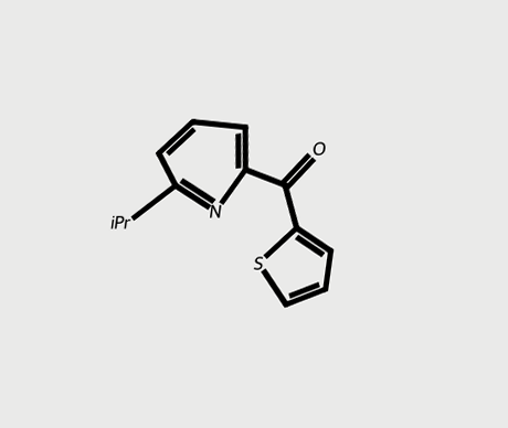 CC(C)c1cccc(C(=O)c2cccs2)n1